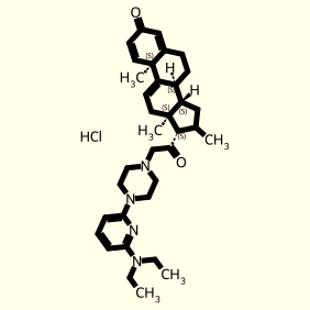 CCN(CC)c1cccc(N2CCN(CC(=O)[C@H]3C(C)C[C@H]4[C@@H]5CCC6=CC(=O)C=C[C@]6(C)C5=CC[C@]34C)CC2)n1.Cl